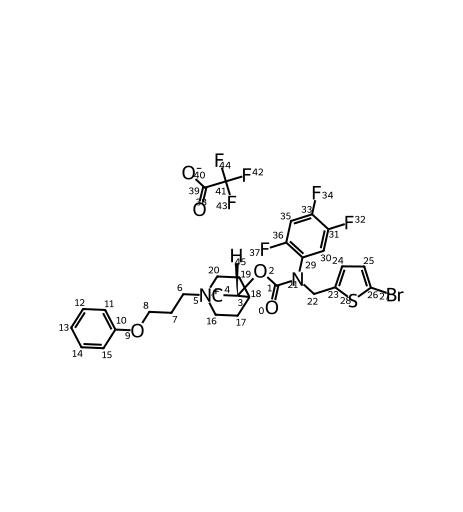 O=C(O[C@H]1C[N+]2(CCCOc3ccccc3)CCC1CC2)N(Cc1ccc(Br)s1)c1cc(F)c(F)cc1F.O=C([O-])C(F)(F)F